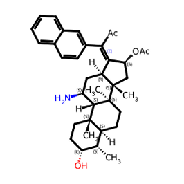 CC(=O)O[C@H]1C[C@@]2(C)[C@@H](C[C@H](N)[C@H]3[C@@]4(C)CC[C@@H](O)[C@@H](C)[C@@H]4CC[C@@]32C)/C1=C(/C(C)=O)c1ccc2ccccc2c1